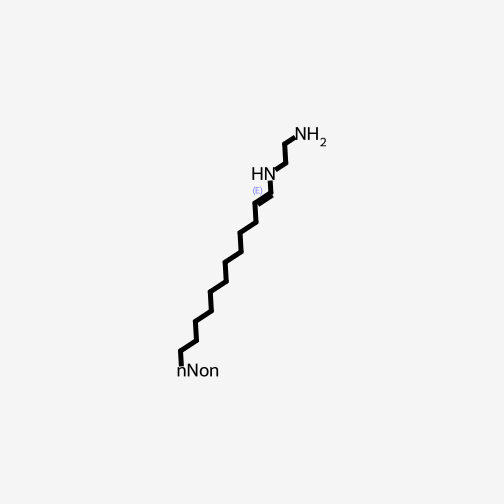 CCCCCCCCCCCCCCCCCCC/C=C/NCCN